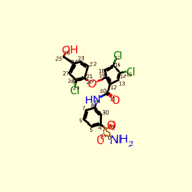 NS(=O)(=O)c1cccc(NC(=O)c2cc(Cl)c(Cl)cc2Oc2ccc(CO)cc2Cl)c1